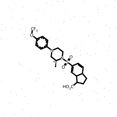 C[C@H]1CN(c2ccc(OC(F)(F)F)cc2)CCN1S(=O)(=O)C1=CC2C(C=C1)CCC2C(=O)O